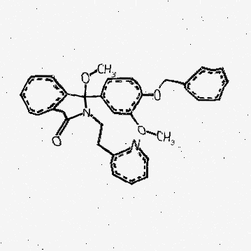 COc1cc(C2(OC)c3ccccc3C(=O)N2CCc2ccccn2)ccc1OCc1ccccc1